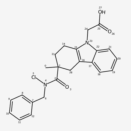 CC1(C(=O)N(Cl)Cc2ccccc2)CCc2c(c3ccccc3n2CC(=O)O)C1